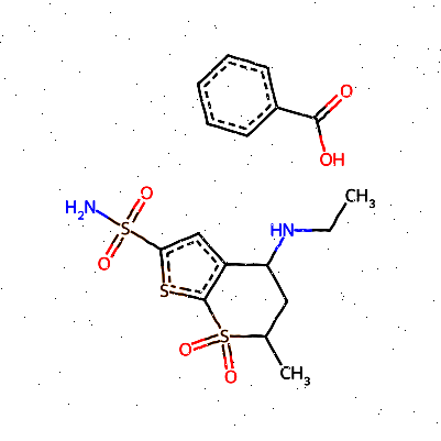 CCNC1CC(C)S(=O)(=O)c2sc(S(N)(=O)=O)cc21.O=C(O)c1ccccc1